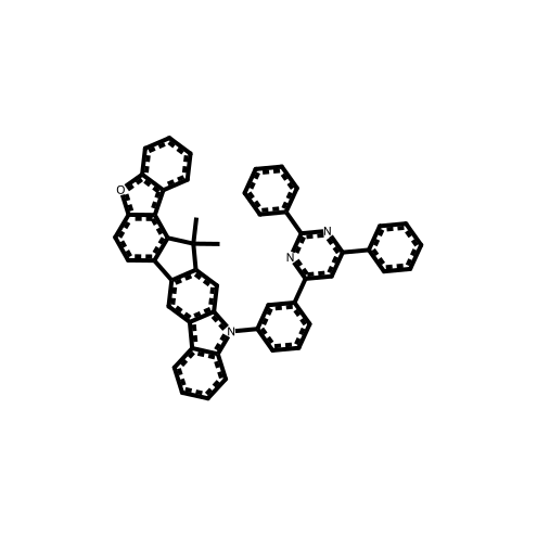 CC1(C)c2cc3c(cc2-c2ccc4oc5ccccc5c4c21)c1ccccc1n3-c1cccc(-c2cc(-c3ccccc3)nc(-c3ccccc3)n2)c1